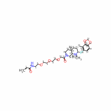 C=CC(=O)NCCOCCOCCOCC(=O)N1CC[C@@H]2C[C@H](Cc3c(F)ccc4c3OCO4)CN(C)[C@H]2C1